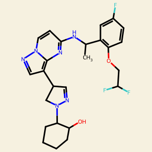 CC(Nc1ccn2ncc(C3C=NN(C4CCCCC4O)C3)c2n1)c1cc(F)ccc1OCC(F)F